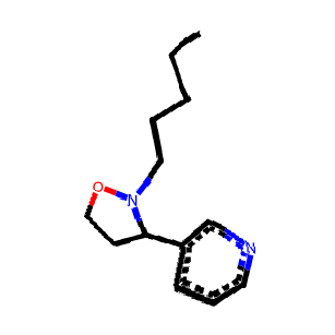 CCCCCN1OCCC1c1cccnc1